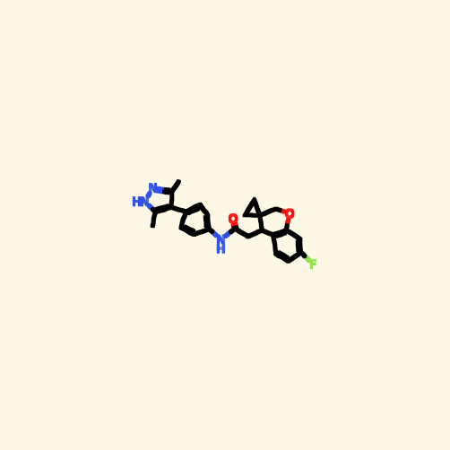 Cc1n[nH]c(C)c1-c1ccc(NC(=O)CC2c3ccc(F)cc3OCC23CC3)cc1